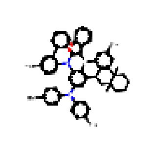 CC(C)(C)c1ccc(N(c2ccc(C(C)(C)C)cc2)c2cc3c4c(c2)N(c2ccc(C(C)(C)C)cc2-c2ccccc2)c2oc5ccccc5c2B4c2cc(C(C)(C)C)cc4c2C3CC2(C)CCCCC42C)cc1